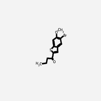 CCCC(=O)c1cc2cc(Br)c(OC)cc2s1